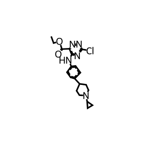 CCOC(=O)c1nnc(Cl)nc1Nc1ccc(C2CCN(C3CC3)CC2)cc1